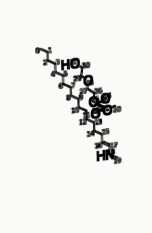 CCCCCCCCCCCCCCCCC=CNC.COS(=O)(=O)OCCOCCO